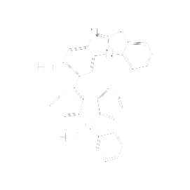 Cc1cc2nc3n(c2cc1-c1cccc([Si](C)(c2ccccc2)c2ccccc2)c1)-c1ccccc1C3